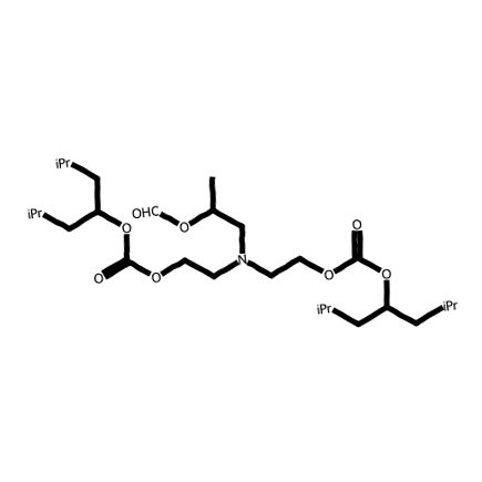 CC(C)CC(CC(C)C)OC(=O)OCCN(CCOC(=O)OC(CC(C)C)CC(C)C)CC(C)OC=O